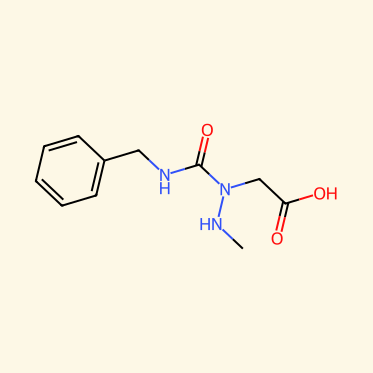 CNN(CC(=O)O)C(=O)NCc1ccccc1